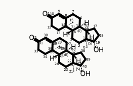 C[C@]12CC[C@H]3[C@@H](CCC4=CC(=O)CC[C@@]43C)[C@@H]1CC[C@@H]2O.C[C@]12CC[C@H]3[C@@H](CCC4=CC(=O)CC[C@@]43C)[C@@H]1CC[C@@H]2O